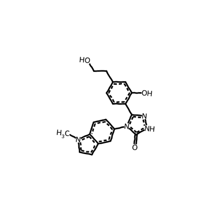 Cn1ccc2cc(-n3c(-c4ccc(CCO)cc4O)n[nH]c3=O)ccc21